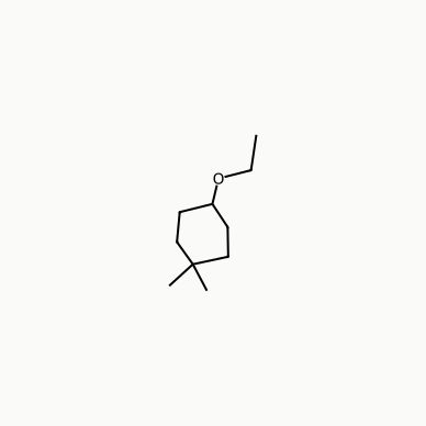 CCOC1CCC(C)(C)CC1